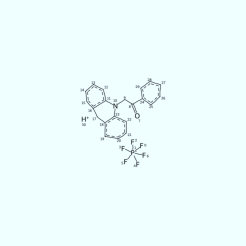 F[P-](F)(F)(F)(F)F.O=C(CN1c2ccccc2Cc2ccccc21)c1ccccc1.[H+]